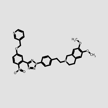 COc1cc2c(cc1OC)CN(CCc1ccc(-n3nnc(-c4cc(OCc5cccnc5)ccc4[N+](=O)[O-])n3)cc1)CC2